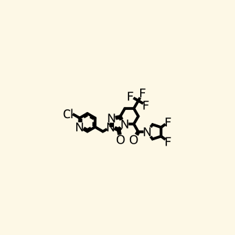 O=C(C1CC(C(F)(F)F)Cc2nn(Cc3ccc(Cl)nc3)c(=O)n21)N1CC(F)C(F)C1